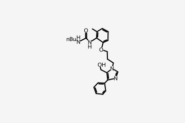 CCCCNC(=O)Nc1c(C)cccc1OCCCn1cnc(-c2ccccc2)c1CO